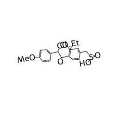 CCOC(=O)C(C(=O)c1ccc(CS(=O)O)cc1Cl)c1ccc(OC)cc1